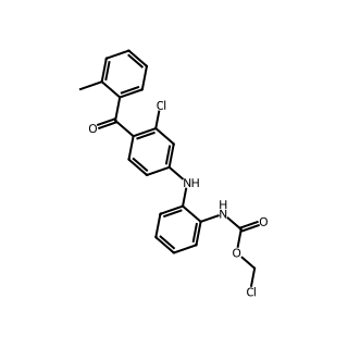 Cc1ccccc1C(=O)c1ccc(Nc2ccccc2NC(=O)OCCl)cc1Cl